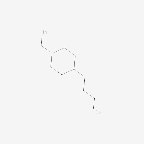 CNCCCC1CCN(CC(C)C)CC1